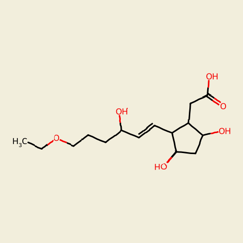 CCOCCCC(O)C=CC1C(O)CC(O)C1CC(=O)O